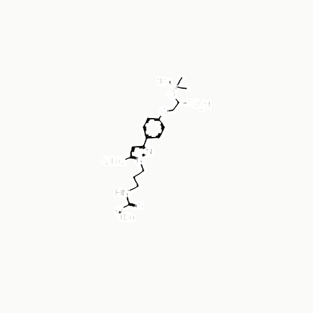 CC(C)(C)OC(=O)NCCCn1nc(-c2ccc(OC[C@@H](O[Si](C)(C)C(C)(C)C)C(=O)O)cc2)cc1C=O